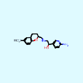 Nc1ccc(C(O)CNCC2CCc3cc(S(=O)(=O)O)ccc3O2)cn1